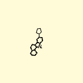 Cn1c2ccc(C3CCCC3)cc2c2ccc3ccccc3c21